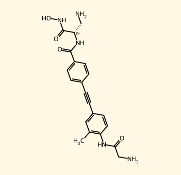 Cc1cc(C#Cc2ccc(C(=O)N[C@@H](CN)C(=O)NO)cc2)ccc1NC(=O)CN